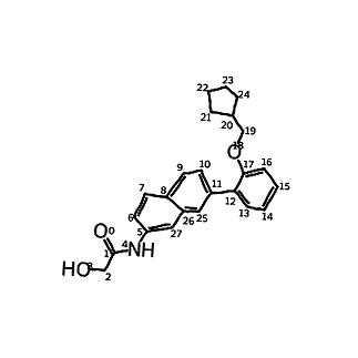 O=C(CO)Nc1ccc2ccc(-c3ccccc3OCC3CCCC3)cc2c1